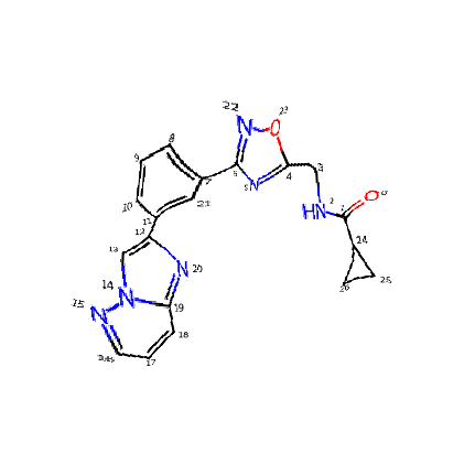 O=C(NCc1nc(-c2cccc(-c3cn4ncccc4n3)c2)no1)C1CC1